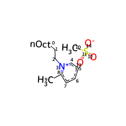 CCCCCCCCCC[n+]1ccccc1C.CS(=O)(=O)[O-]